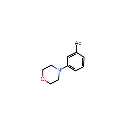 CC(=O)c1cccc(N2CCOCC2)c1